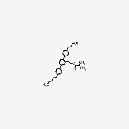 C=C(C)C(=O)OCCc1cc(-c2ccc(CCCCC)cc2)ccc1-c1ccc(CCCO)cc1